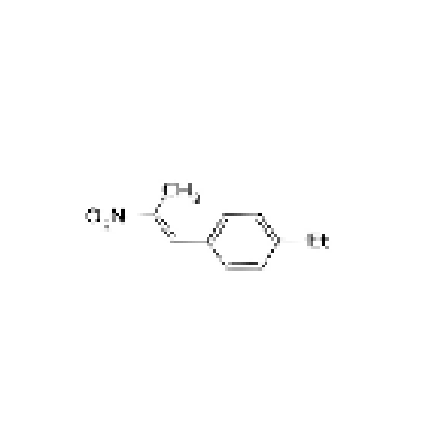 CCc1ccc(C=C(C)[N+](=O)[O-])cc1